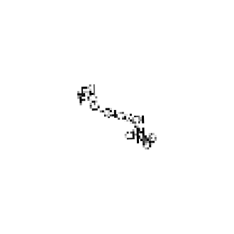 O=[N+]([O-])c1cn(CCC(O)COc2ccc(N3CCC(CCOc4ccc(Cl)c(C(F)(F)F)c4)CC3)cc2)c(Cl)n1